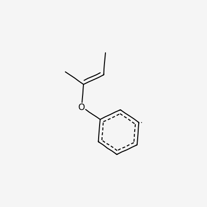 CC=C(C)Oc1c[c]ccc1